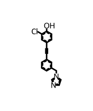 Oc1ccc(C#Cc2cccc(Cn3ccnc3)c2)cc1Cl